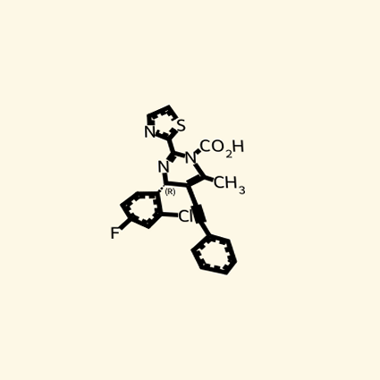 CC1=C(C#Cc2ccccc2)[C@H](c2ccc(F)cc2Cl)N=C(c2nccs2)N1C(=O)O